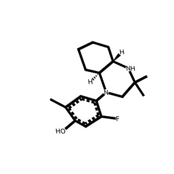 Cc1cc(N2CC(C)(C)N[C@H]3CCCC[C@@H]32)c(F)cc1O